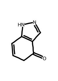 O=C1CC=Cc2[nH]ncc21